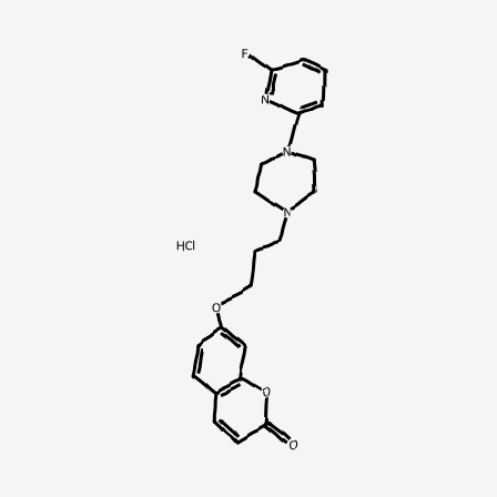 Cl.O=c1ccc2ccc(OCCCN3CCN(c4cccc(F)n4)CC3)cc2o1